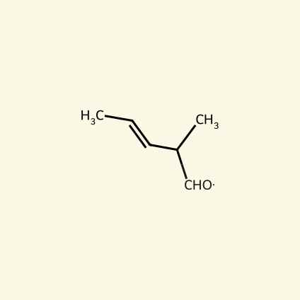 CC=CC(C)[C]=O